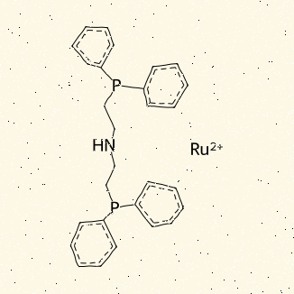 [Ru+2].c1ccc(P(CCNCCP(c2ccccc2)c2ccccc2)c2ccccc2)cc1